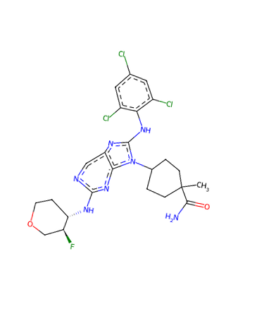 CC1(C(N)=O)CCC(n2c(Nc3c(Cl)cc(Cl)cc3Cl)nc3cnc(N[C@H]4CCOC[C@@H]4F)nc32)CC1